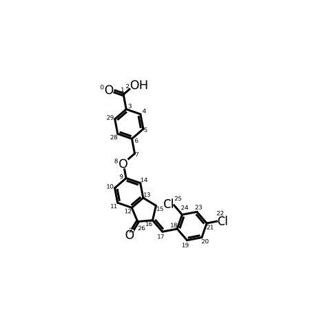 O=C(O)c1ccc(COc2ccc3c(c2)C/C(=C\c2ccc(Cl)cc2Cl)C3=O)cc1